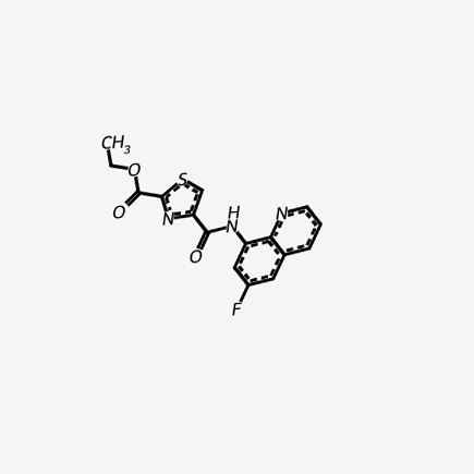 CCOC(=O)c1nc(C(=O)Nc2cc(F)cc3cccnc23)cs1